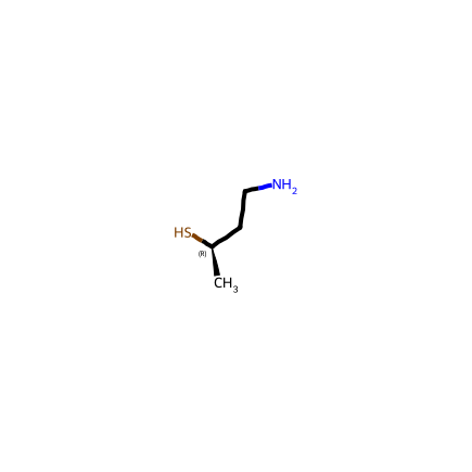 C[C@@H](S)CCN